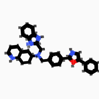 C1=CC2=CC(N(Cc3ccc(-c4ncc(-c5ccccc5)o4)cc3)Cc3nc4ccccc4[nH]3)CCC2N=C1